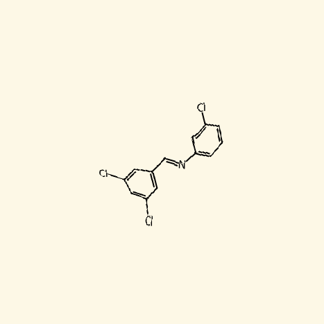 Clc1cc(Cl)cc(/C=N/c2cccc(Cl)c2)c1